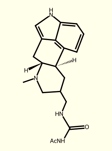 CC(=O)NC(=O)NCC1C[C@@H]2c3cccc4[nH]cc(c34)C[C@H]2N(C)C1